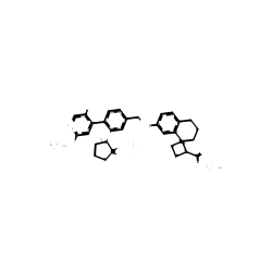 COC(=O)C1CCC12CCCc1ccc(OCc3ccc(-c4cc(OC)ncc4F)c([C@@H]4CCCC4(C)C)c3)cc12